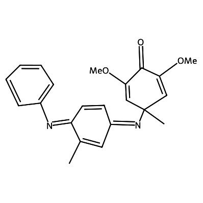 COC1=CC(C)(N=C2C=CC(=Nc3ccccc3)C(C)=C2)C=C(OC)C1=O